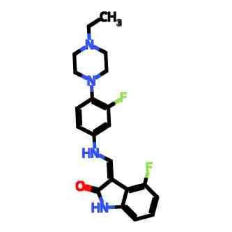 CCN1CCN(c2ccc(NC=C3C(=O)Nc4cccc(F)c43)cc2F)CC1